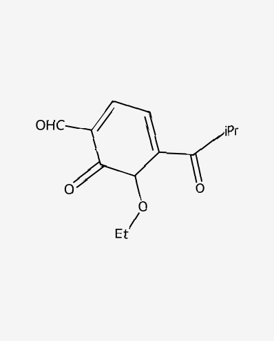 CCOC1C(=O)C(C=O)=CC=C1C(=O)C(C)C